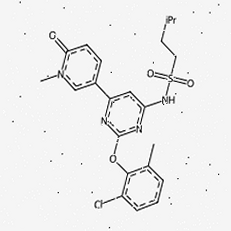 Cc1cccc(Cl)c1Oc1nc(NS(=O)(=O)CCC(C)C)cc(-c2ccc(=O)n(C)c2)n1